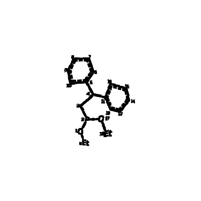 CCOP(CC(c1ccccc1)c1ccccc1)OCC